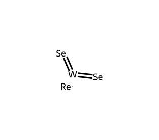 [Re].[Se]=[W]=[Se]